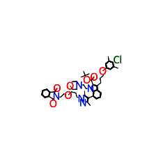 Cc1cc(OCCCc2c(C(=O)OC(C)(C)C)n(CCN3CCOCC3)c3c(-c4c(C)nn(CCCOCCN5C(=O)c6ccccc6C5=O)c4C)cccc23)cc(C)c1Cl